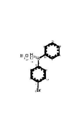 Brc1ccc([B]c2ccccc2)cc1.O.O